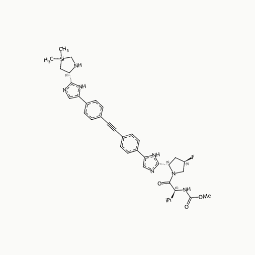 COC(=O)N[C@H](C(=O)N1C[C@H](F)C[C@H]1c1ncc(-c2ccc(C#Cc3ccc(-c4cnc([C@@H]5C[Si](C)(C)CN5)[nH]4)cc3)cc2)[nH]1)C(C)C